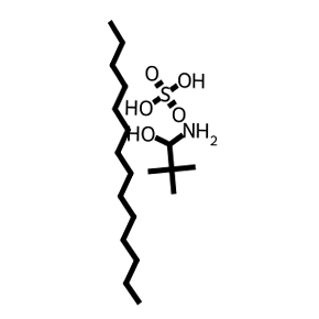 CC(C)(C)C(N)O.CCCCCCCCCCCCCC.O=S(=O)(O)O